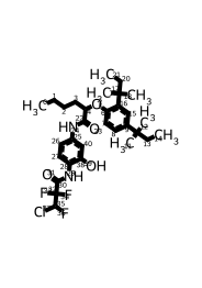 CCCCC(Oc1ccc(C(C)(C)CC)cc1C(C)(C)CC)C(=O)Nc1ccc(NC(=O)C(F)(F)C(F)Cl)c(O)c1